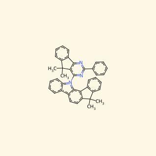 CC1(C)c2ccccc2-c2c1ccc1c3ccccc3n(-c3nc(-c4ccccc4)nc4c3C(C)(C)c3ccccc3-4)c21